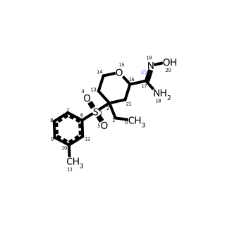 CCC1(S(=O)(=O)c2cccc(C)c2)CCOC(/C(N)=N/O)C1